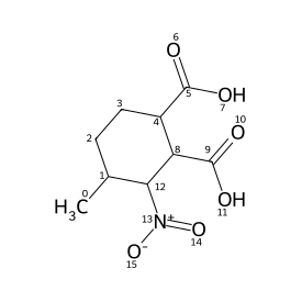 CC1CCC(C(=O)O)C(C(=O)O)C1[N+](=O)[O-]